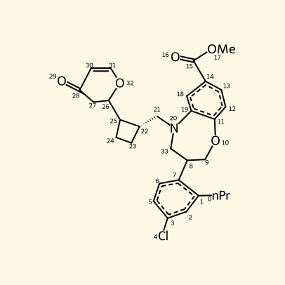 CCCc1cc(Cl)ccc1C1COc2ccc(C(=O)OC)cc2N(C[C@@H]2CCC2C2CC(=O)C=CO2)C1